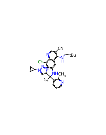 [2H]C(Nc1cc(Cl)c2ncc(C#N)c(NCC(C)(C)C)c2c1)(c1cn(C2CC2)nn1)c1cccnc1C